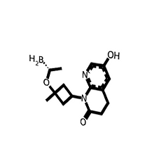 B[C@H](C)OC1(C)CC(N2C(=O)CCc3cc(O)cnc32)C1